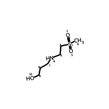 CS(=O)(=O)CCNCCCO